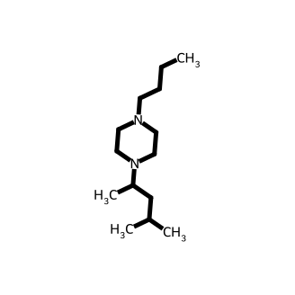 CCCCN1CCN(C(C)CC(C)C)CC1